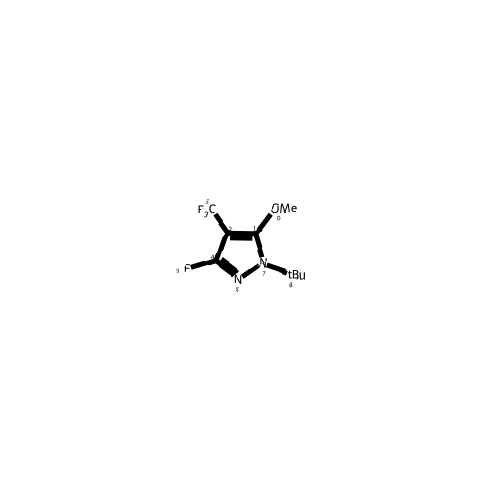 COc1c(C(F)(F)F)c(F)nn1C(C)(C)C